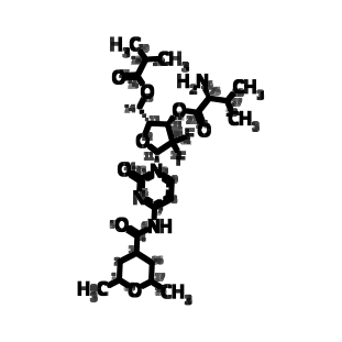 CC1CC(C(=O)Nc2ccn([C@@H]3O[C@H](COC(=O)C(C)C)[C@@H](OC(=O)[C@@H](N)C(C)C)C3(F)F)c(=O)n2)CC(C)O1